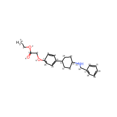 CCOC(=O)COc1ccc(C2CCC(NCc3ccccc3)CC2)cc1